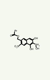 CC(C)C(=O)OCc1cc2cc(O)c([SiH2]O)c(O)c2cc1[N+](=O)[O-]